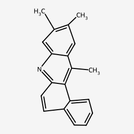 Cc1cc2nc3ccc4ccccc4c3c(C)c2cc1C